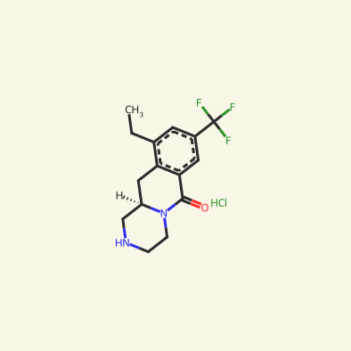 CCc1cc(C(F)(F)F)cc2c1C[C@@H]1CNCCN1C2=O.Cl